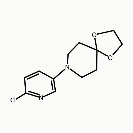 Clc1ccc(N2CCC3(CC2)OCCO3)cn1